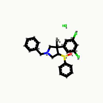 Cl.[O-][S+](c1ccccc1)C1CN(Cc2ccccc2)CC1(c1cc(Cl)cc(Cl)c1)C(F)(F)F